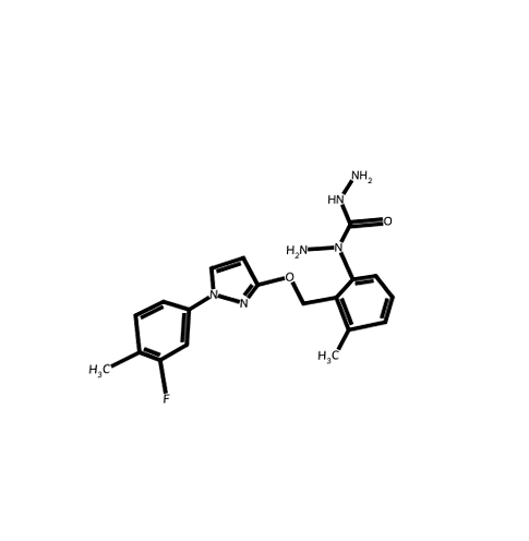 Cc1ccc(-n2ccc(OCc3c(C)cccc3N(N)C(=O)NN)n2)cc1F